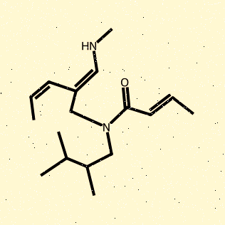 C/C=C\C(=C/NC)CN(CC(C)C(C)C)C(=O)/C=C/C